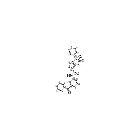 O=C(c1ccccc1)c1cccc(NC(=O)c2ccn3c2CS(=O)(=O)C3c2cccnc2)c1